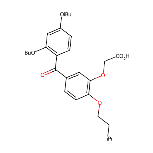 CC(C)CCOc1ccc(C(=O)c2ccc(OCC(C)C)cc2OCC(C)C)cc1OCC(=O)O